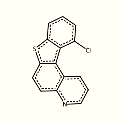 Clc1cccc2sc3ccc4ncccc4c3c12